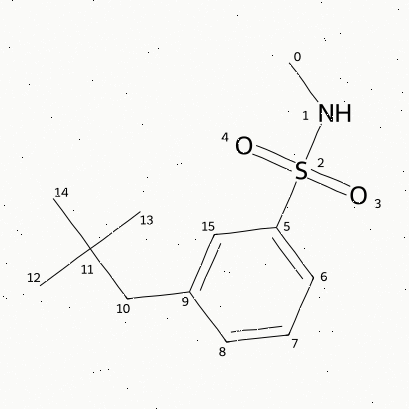 CNS(=O)(=O)c1cccc(CC(C)(C)C)c1